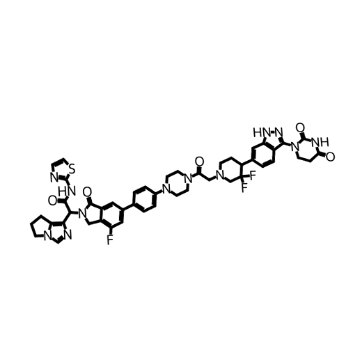 O=C1CCN(c2n[nH]c3cc(C4CCN(CC(=O)N5CCN(c6ccc(-c7cc(F)c8c(c7)C(=O)N(C(C(=O)Nc7nccs7)c7ncn9c7CCC9)C8)cc6)CC5)CC4(F)F)ccc23)C(=O)N1